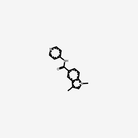 Cc1cn(C)c2ccc(C(=O)Nc3ccncc3)cc12